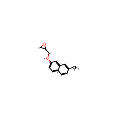 Cc1ccc2ccc(OCC3CO3)cc2c1